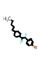 CCCCCc1ccc(/C(F)=C(\F)c2ccc(Br)cc2)cc1